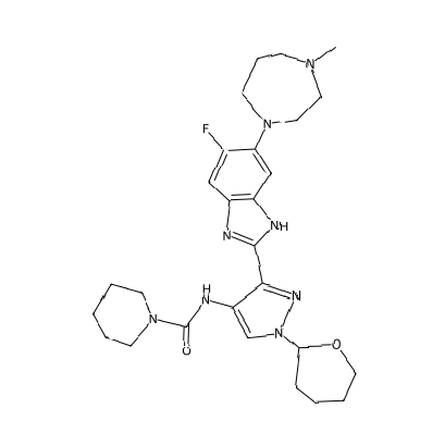 CN1CCCN(c2cc3[nH]c(-c4nn(C5CCCCO5)cc4NC(=O)N4CCCCC4)nc3cc2F)CC1